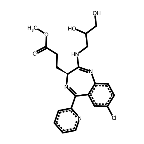 COC(=O)CC[C@@H]1N=C(c2ccccn2)c2cc(Cl)ccc2N=C1NCC(O)CO